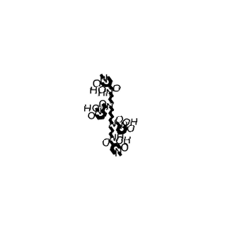 Cn1ccc(C(=O)NCCCN(CCCCN(CCCNC(=O)c2ccn(C)c(=O)c2O)C(=O)c2cccc(=O)n2O)C(=O)c2cccc(=O)n2O)c(O)c1=O